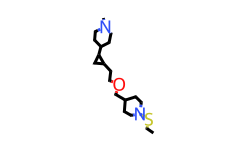 CCSN1CCC(COCCC2CC2C2CCN(C)CC2)CC1